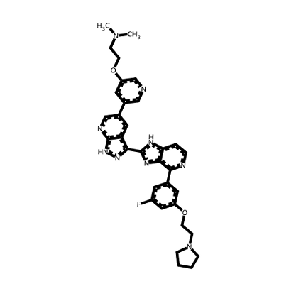 CN(C)CCOc1cncc(-c2cnc3[nH]nc(-c4nc5c(-c6cc(F)cc(OCCN7CCCC7)c6)nccc5[nH]4)c3c2)c1